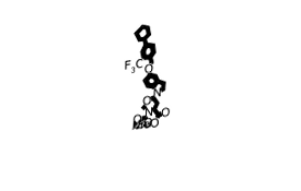 COC(=O)C(CC(=O)N1CCc2cc(OCc3ccc(C4CCCCC4)cc3C(F)(F)F)ccc21)N(C)C(=O)OC(C)(C)C